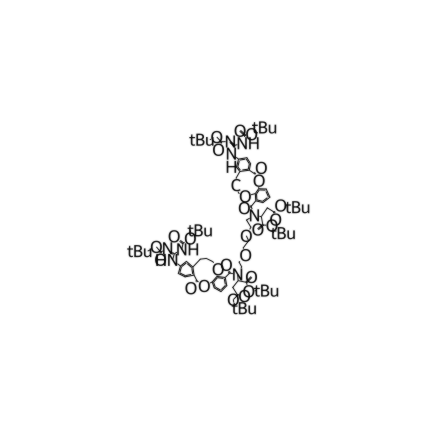 CC(C)(C)OC(=O)CC(C(=O)OC(C)(C)C)N(CCOCCOCCN(C(=O)c1cccc2c1OCCCc1cc(N/C(=N\C(=O)OC(C)(C)C)NC(=O)OC(C)(C)C)ccc1C(=O)O2)C(CC(=O)OC(C)(C)C)C(=O)OC(C)(C)C)C(=O)c1cccc2c1OCCCc1cc(N/C(=N\C(=O)OC(C)(C)C)NC(=O)OC(C)(C)C)ccc1C(=O)O2